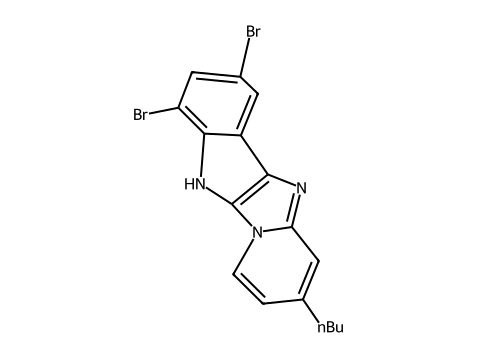 CCCCc1ccn2c(c1)nc1c3cc(Br)cc(Br)c3[nH]c12